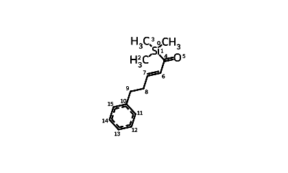 C[Si](C)(C)C(=O)/C=C/CCc1ccccc1